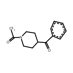 O=C(c1ccccc1)C1CCN(C(=O)C(F)(F)F)CC1